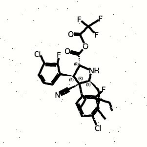 CCC(CC)(CC)C[C@@H]1N[C@@H](C(=O)OC(=O)C(F)(F)F)[C@H](c2cccc(Cl)c2F)[C@@]1(C#N)c1ccc(Cl)cc1F